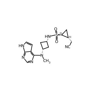 CN(c1ncnc2[nH]ccc12)[C@H]1C[C@@H](NS(=O)(=O)[C@H]2C[C@@H]2CC#N)C1